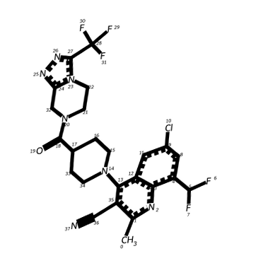 Cc1nc2c(C(F)F)cc(Cl)cc2c(N2CCC(C(=O)N3CCn4c(nnc4C(F)(F)F)C3)CC2)c1C#N